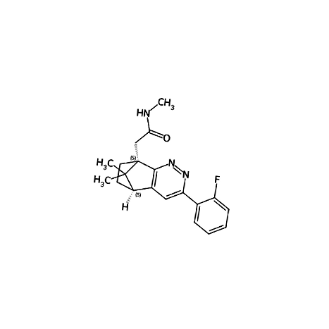 CNC(=O)C[C@]12CC[C@H](c3cc(-c4ccccc4F)nnc31)C2(C)C